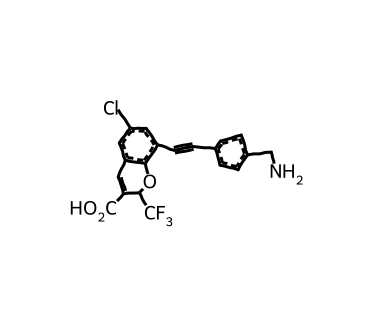 NCc1ccc(C#Cc2cc(Cl)cc3c2OC(C(F)(F)F)C(C(=O)O)=C3)cc1